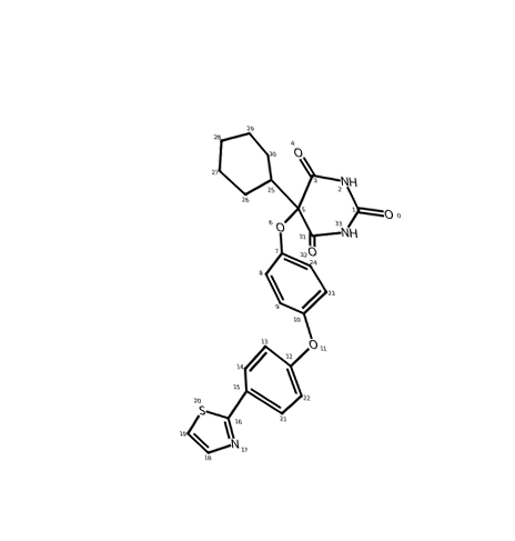 O=C1NC(=O)C(Oc2ccc(Oc3ccc(-c4nccs4)cc3)cc2)(C2CCCCC2)C(=O)N1